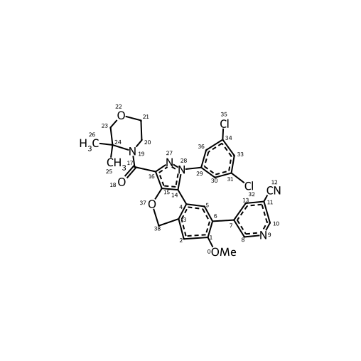 COc1cc2c(cc1-c1cncc(C#N)c1)-c1c(c(C(=O)N3CCOCC3(C)C)nn1-c1cc(Cl)cc(Cl)c1)OC2